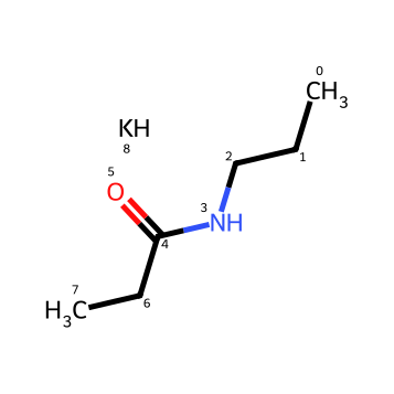 CCCNC(=O)CC.[KH]